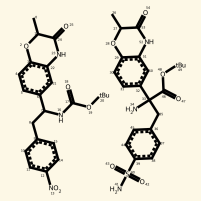 CC1Oc2ccc(C(Cc3ccc([N+](=O)[O-])cc3)NC(=O)OC(C)(C)C)cc2NC1=O.CC1Oc2ccc(C(N)(Cc3ccc(S(N)(=O)=O)cc3)C(=O)OC(C)(C)C)cc2NC1=O